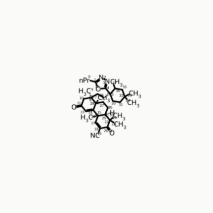 CCCc1nnc([C@]2(CC[C@]3(C)CC(=O)C=C4[C@@]5(C)C=C(C#N)C(=O)C(C)(C)[C@@H]5CC[C@]43C)CCC(C)(C)CC2C)o1